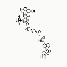 CCc1c(F)ccc2cc(O)cc(-c3ncc4c(N5C[C@H]6CC[C@@H](C5)N6)nc(OC[C@@H]5C[C@H](N6CCN(C(=O)CCCC(=O)NCc7ccc8c9c(cccc79)C(=O)N8C7CCC(=O)NC7=O)CC6)CN5C)nc4c3F)c12